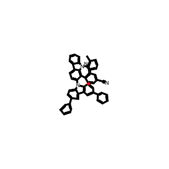 Cc1cccc(C)c1-n1c2ccccc2c2ccc(-n3c4ccc(-c5ccccc5)cc4c4cc(-c5ccccc5)ccc43)c(-c3ccc(C#N)cc3C#N)c21